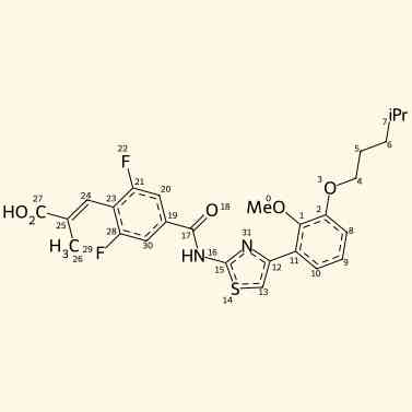 COc1c(OCCCC(C)C)cccc1-c1csc(NC(=O)c2cc(F)c(/C=C(\C)C(=O)O)c(F)c2)n1